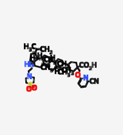 C=C(C)[C@@H]1CC[C@]2(NCCN3CCS(=O)(=O)CC3)CC[C@]3(C)[C@H](CC[C@@H]4[C@@]5(C)CC=C(C6=CCC(COc7cccc(C#N)n7)(C(=O)O)CC6)C(C)(C)[C@@H]5CC[C@]43C)[C@@H]12